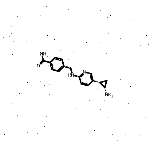 NC(=O)c1ccc(CNc2ccc([C@H]3C[C@@H]3N)cn2)cc1